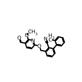 COc1nc(OCc2cccc(-c3ccccc3C)c2C#N)ccc1C=O